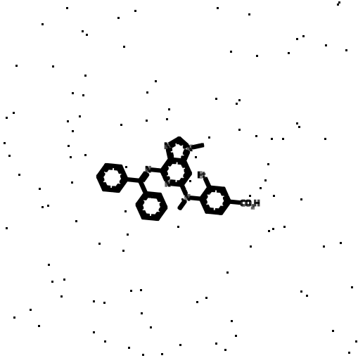 CCc1cc(C(=O)O)ccc1N(C)c1cc2c(ncn2C)c(N=C(c2ccccc2)c2ccccc2)n1